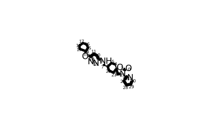 O=C1O[C@]2(CC[C@H](CNc3ccc(OC4CCCCC4)nn3)CC2)CN1c1ccccn1